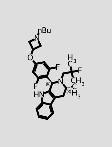 CCCCN1CC(Oc2cc(F)c([C@@H]3c4[nH]c5ccccc5c4C[C@@H](C)N3CC(C)(C)F)c(F)c2)C1